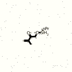 C=C(C)C(=O)CO[SiH2]CCC